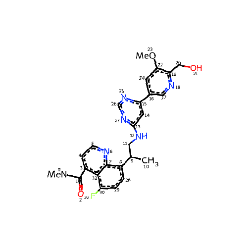 CNC(=O)c1ccnc2c([C@H](C)CNc3cc(-c4cnc(CO)c(OC)c4)ncn3)ccc(F)c12